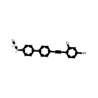 CCCc1ccc(C#Cc2ccc(-c3ccc(N=C=S)cc3)cc2)c(F)c1